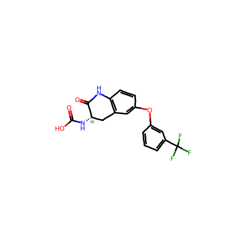 O=C(O)N[C@H]1Cc2cc(Oc3cccc(C(F)(F)F)c3)ccc2NC1=O